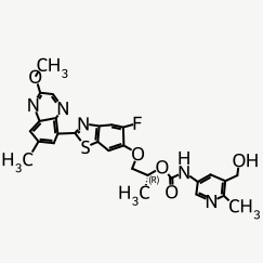 COc1cnc2c(-c3nc4cc(F)c(OC[C@@H](C)OC(=O)Nc5cnc(C)c(CO)c5)cc4s3)cc(C)cc2n1